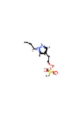 CCCn1cc(CCOS(C)(=O)=O)cn1